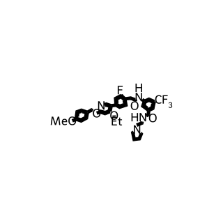 CCOc1cc(OCc2ccc(OC)cc2)ncc1-c1ccc(CC(=O)Nc2cc(C(=O)NCCN3CCCC3)cc(C(F)(F)F)c2)c(F)c1